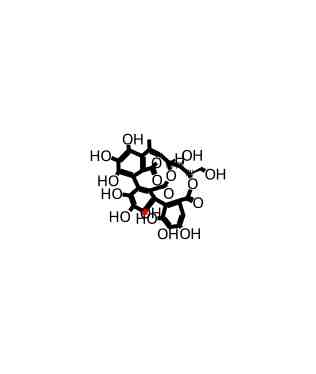 Cc1c2oc(=O)c3c(c(O)c(O)c(O)c13)-c1c(O)c(O)c(O)c3c1C(=O)O[C@H]2[C@H](O)[C@@H](CO)OC(=O)c1cc(O)c(O)c(O)c1-3